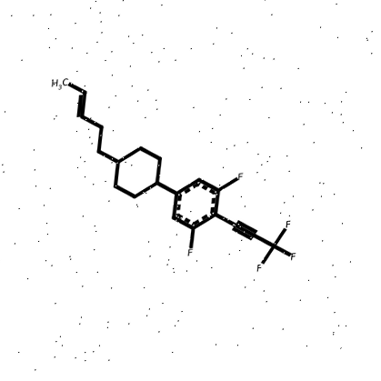 C/C=C/CCC1CCC(c2cc(F)c(C#CC(F)(F)F)c(F)c2)CC1